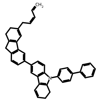 C=C/C=C\CC1=CC2=C(CC1)Cc1ccc(-c3ccc4c(c3)c3c(n4-c4ccc(-c5ccccc5)cc4)CCC=C3)cc12